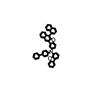 c1ccc(-c2ccc(N(c3ccc4oc5c(-c6cccc7ccccc67)c6ccccc6cc5c4c3)c3cccc4c3oc3ccccc34)cc2)cc1